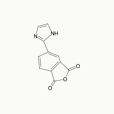 O=C1OC(=O)c2cc(-c3ncc[nH]3)ccc21